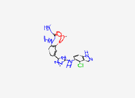 CNC(=O)NC1=C(OC)C=C(c2nc(Nc3ccc4[nH]ncc4c3Cl)n(C)n2)CC1